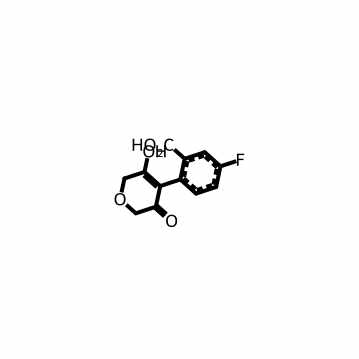 O=C1COCC(O)=C1c1ccc(F)cc1C(=O)O